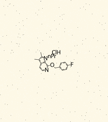 CCCn1c(C)c(C)c2ccnc(OCc3ccc(F)cc3)c21.Cl